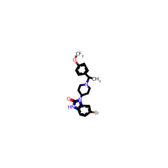 CC(c1ccc(OC(F)(F)F)cc1)N1CCC(n2c(=O)[nH]c3ccc(Br)cc32)CC1